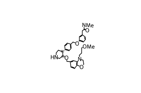 CNC(=O)Cc1cccc(OCc2ccc([C@H]3CCNC[C@@H]3OCc3ccc4c(c3)N(CCCOC)CCO4)cc2)c1